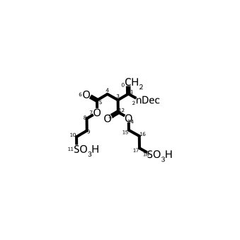 C=C(CCCCCCCCCC)C(CC(=O)OCCCS(=O)(=O)O)C(=O)OCCCS(=O)(=O)O